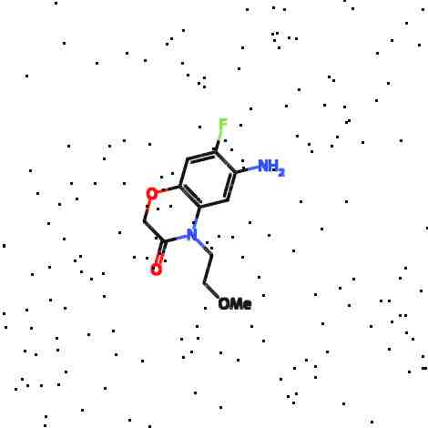 COCCN1C(=O)COc2cc(F)c(N)cc21